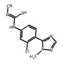 Cn1ncnc1-c1ccc(NC(S)=NC#N)cc1Cl